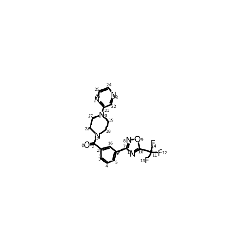 O=C(c1cccc(-c2noc(C(F)(F)F)n2)c1)N1CCN(c2cnccn2)CC1